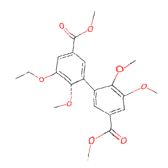 CCOc1cc(C(=O)OC)cc(-c2cc(C(=O)OC)cc(OC)c2OC)c1OC